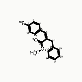 COC(=O)C(=Cc1ccc(F)cc1)Cc1ccccc1